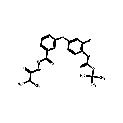 CC(C)C(=O)NNC(=O)c1cccc(Oc2ccc(NC(=O)OC(C)(C)C)c(F)c2)c1